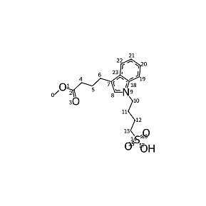 COC(=O)CCCc1cn(CCCCS(=O)(=O)O)c2ccccc12